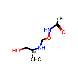 CCCC(=O)NOCN[C@H](C=O)CO